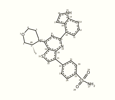 C[C@@H]1COCCN1c1nc(-c2ccnc3[nH]ccc23)nc2c(-c3ccc(S(N)(=O)=O)cc3)csc12